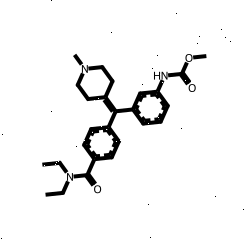 CCN(CC)C(=O)c1ccc(C(=C2CCN(C)CC2)c2cccc(NC(=O)OC)c2)cc1